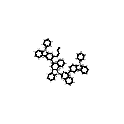 C=C/C=C\c1cc2c(cc1C1=CC3c4ccccc4N(c4nc(-c5ccc6c(c5)c5ccccc5n6-c5ccccc5)c5ccccc5n4)C3c3ccccc31)c1ccccc1n2-c1ccccc1